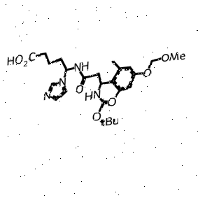 COCOc1cc(C)c(C(CC(=O)NC(CCCC(=O)O)n2ccnc2)NC(=O)OC(C)(C)C)c(C)c1